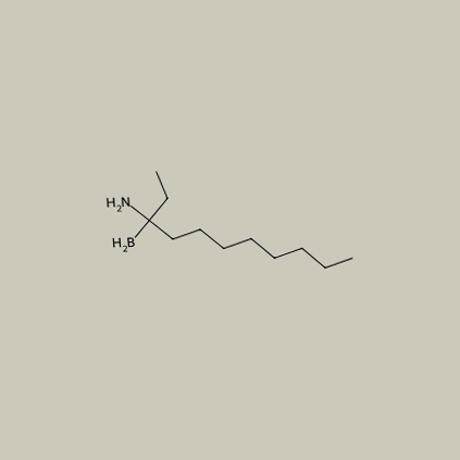 BC(N)(CC)CCCCCCCC